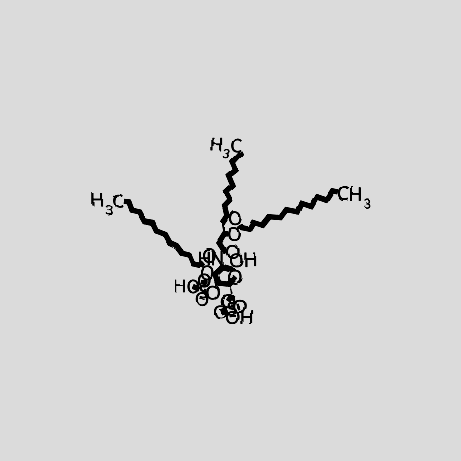 CCCCCCCCCCCCCC(=O)O[C@H](CCCCCCCCCCC)CC(=O)N[C@H]1C(O)O[C@H](COS(=O)(=O)O)[C@@H](OS(=O)(=O)O)[C@@H]1OC(=O)CCCCCCCCCCCCC